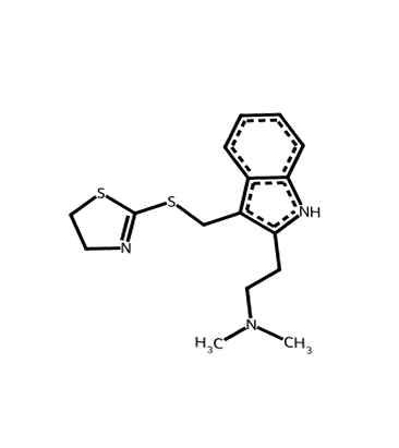 CN(C)CCc1[nH]c2ccccc2c1CSC1=NCCS1